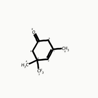 CC1=CC(C)(C(F)(F)F)CC(=O)C1